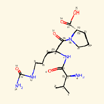 CC(C)[C@H](N)C(=O)N[C@@H](CCCNC(N)=O)C(=O)N1CCC[C@H]1C(=O)O